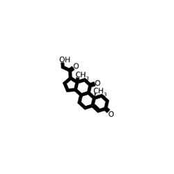 CC12CC(=O)C3C(CCC4=CC(=O)CC[C@@]43C)C1CCC2C(=O)CO